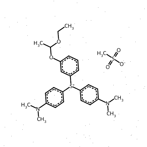 CCOC(C)Oc1cccc([S+](c2ccc(N(C)C)cc2)c2ccc(N(C)C)cc2)c1.CS(=O)(=O)[O-]